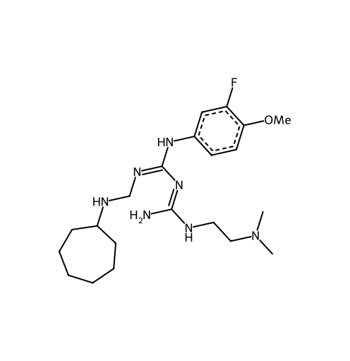 COc1ccc(NC(=N/CNC2CCCCCC2)/N=C(\N)NCCN(C)C)cc1F